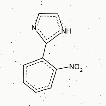 O=[N+]([O-])c1ccccc1-c1ncc[nH]1